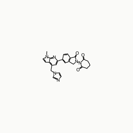 Cn1ccc2c(Cn3ccnc3)cc(-c3ccc4c(c3)CN(N3C(=O)CCCC3=O)C4=O)nc21